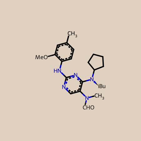 CC[C@H](C)N(c1nc(Nc2ccc(C)cc2OC)ncc1N(C)C=O)C1CCCC1